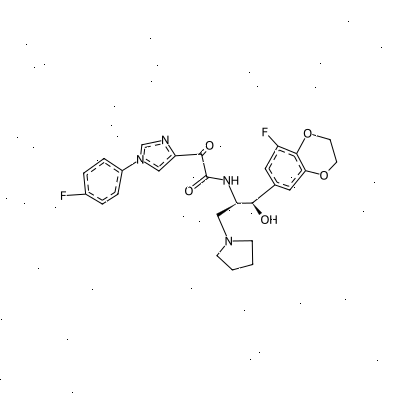 O=C(N[C@H](CN1CCCC1)[C@H](O)c1cc(F)c2c(c1)OCCO2)C(=O)c1cn(-c2ccc(F)cc2)cn1